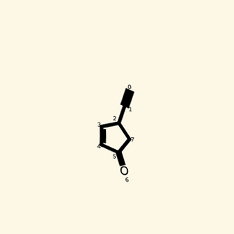 C#CC1C=CC(=O)C1